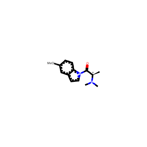 COc1ccc2c(ccn2C(=O)[C@@H](C)N(C)C)c1